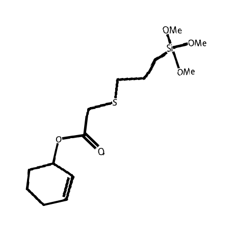 CO[Si](CCCSCC(=O)OC1C=CCCC1)(OC)OC